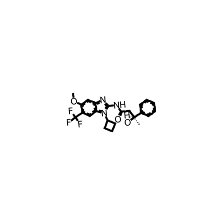 COc1cc2nc(NC(=O)C[C@](C)(O)c3ccccc3)n(C3CCC3)c2cc1C(F)(F)F